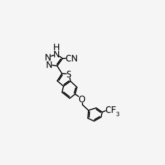 N#Cc1[nH]nnc1-c1cc2ccc(OCc3cccc(C(F)(F)F)c3)cc2s1